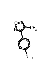 Nc1ccc(-c2nocc2C(F)(F)F)cc1